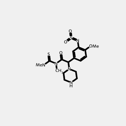 CNC(=S)N(C)C(=O)C(c1ccc(OC)c(N=S(=O)=O)c1)N1CCNCC1